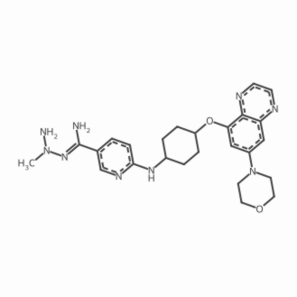 CN(N)/N=C(\N)c1ccc(NC2CCC(Oc3cc(N4CCOCC4)cc4nccnc34)CC2)nc1